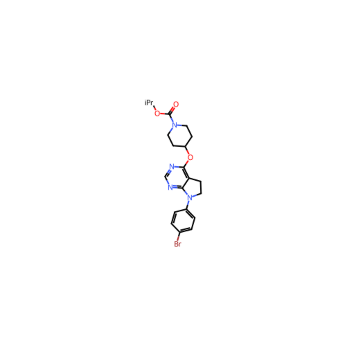 CC(C)OC(=O)N1CCC(Oc2ncnc3c2CCN3c2ccc(Br)cc2)CC1